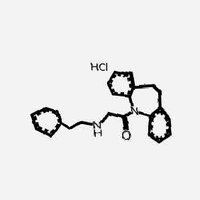 Cl.O=C(CNCCc1ccccc1)N1c2ccccc2CCc2ccccc21